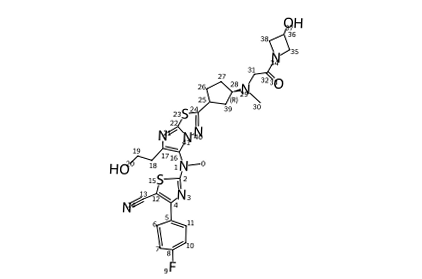 CN(c1nc(-c2ccc(F)cc2)c(C#N)s1)c1c(CCO)nc2sc(C3CC[C@@H](N(C)CC(=O)N4CC(O)C4)C3)nn12